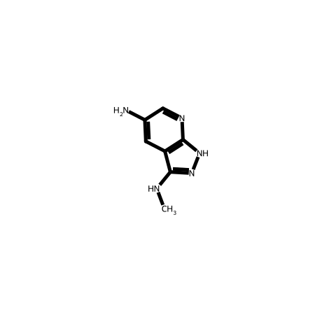 CNc1n[nH]c2ncc(N)cc12